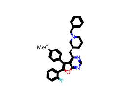 COc1ccc(-c2c(-c3ccccc3F)oc3ncnc(C[C@@H]4CCCN(Cc5ccccc5)C4)c23)cc1